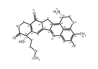 COCC[C@@]1(O)C(=O)OCc2c1cc1n(c2=O)Cc2c-1nc1cc(F)c(C)c3c1c2[C@H](N)CS3